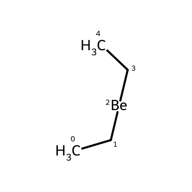 C[CH2][Be][CH2]C